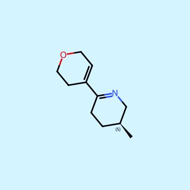 C[C@H]1CCC(C2=CCOCC2)=NC1